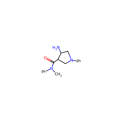 CC(C)N1CC(N)C(C(=O)N(C)C(C)C)C1